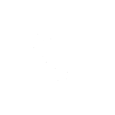 [2H]c1c(CCl)cccc1-c1ccc(C(F)(F)F)cc1